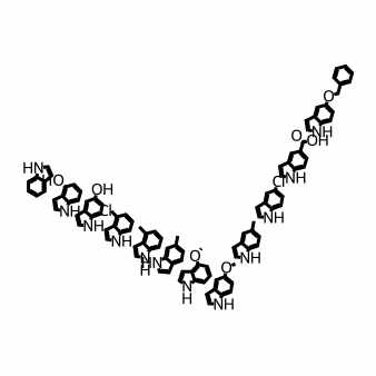 COc1ccc2[nH]ccc2c1.COc1cccc2[nH]ccc12.Cc1ccc2[nH]ccc2c1.Cc1ccc2cc[nH]c2c1.Cc1cccc2[nH]ccc12.Clc1ccc2[nH]ccc2c1.Clc1cccc2[nH]ccc12.O=C(O)c1ccc2[nH]ccc2c1.Oc1ccc2[nH]ccc2c1.Oc1cccc2[nH]ccc12.c1ccc(COc2ccc3[nH]ccc3c2)cc1.c1ccc2[nH]ccc2c1